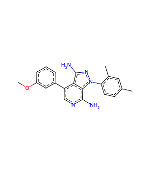 COc1cccc(-c2cnc(N)c3c2c(N)nn3-c2ccc(C)cc2C)c1